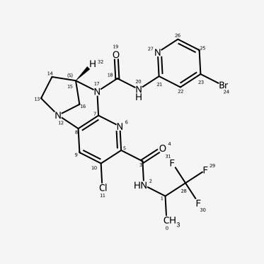 CC(NC(=O)c1nc2c(cc1Cl)N1CC[C@@H](C1)N2C(=O)Nc1cc(Br)ccn1)C(F)(F)F